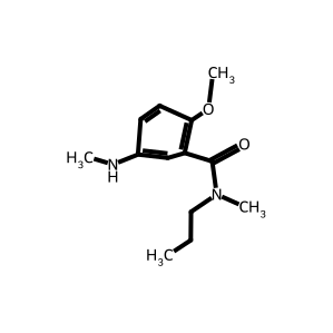 CCCN(C)C(=O)c1cc(NC)ccc1OC